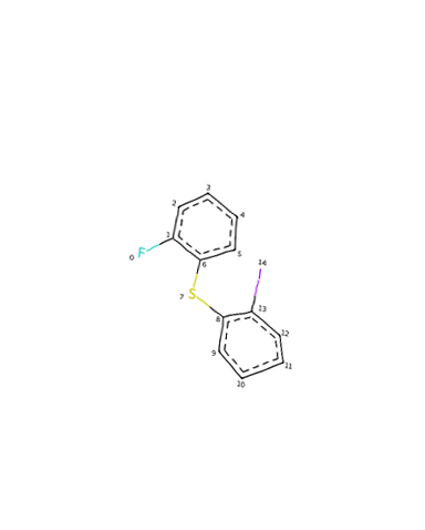 Fc1ccccc1Sc1ccccc1I